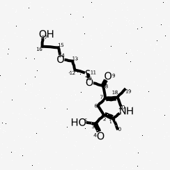 CC1=C(C(=O)O)CC(C(=O)OSCCOCCO)=C(C)N1